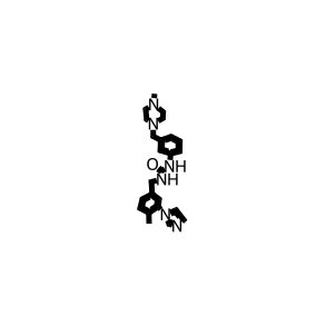 Cc1ccc(CNC(=O)Nc2cccc(CN3CCN(C)CC3)c2)cc1-n1ccnc1